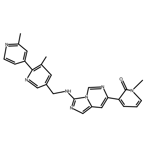 Cc1cc(-c2ncc(CNc3ncc4cc(-c5cccn(C)c5=O)ncn34)cc2C)ccn1